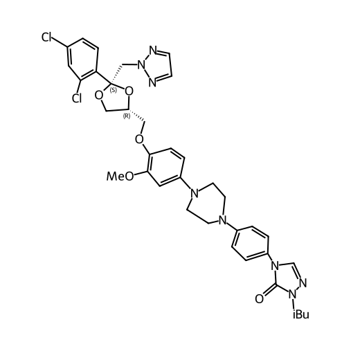 CCC(C)n1ncn(-c2ccc(N3CCN(c4ccc(OC[C@@H]5CO[C@@](Cn6nccn6)(c6ccc(Cl)cc6Cl)O5)c(OC)c4)CC3)cc2)c1=O